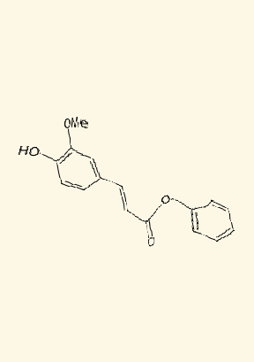 COc1cc(C=CC(=O)Oc2ccccc2)ccc1O